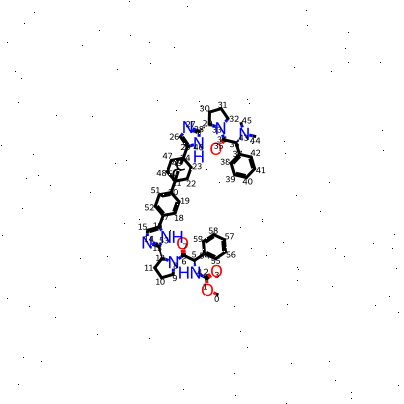 COC(=O)N[C@@H](C(=O)N1CCC[C@H]1c1ncc(-c2ccc(C34CCC(c5cnc([C@@H]6CCCN6C(=O)[C@@H](c6ccccc6)N(C)C)[nH]5)(CC3)CC4)cc2)[nH]1)c1ccccc1